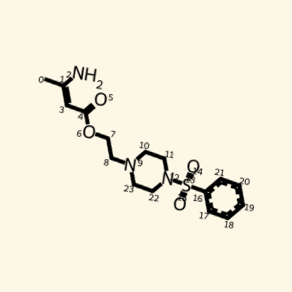 C/C(N)=C/C(=O)OCCN1CCN(S(=O)(=O)c2ccccc2)CC1